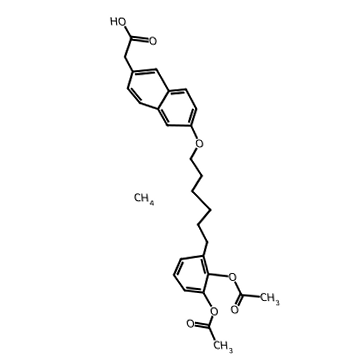 C.CC(=O)Oc1cccc(CCCCCCOc2ccc3cc(CC(=O)O)ccc3c2)c1OC(C)=O